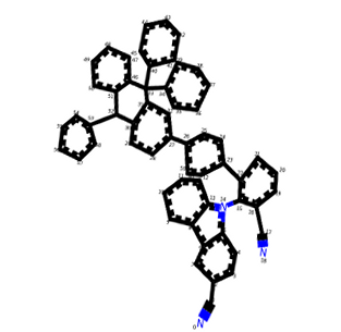 N#Cc1ccc2c(c1)c1ccccc1n2-c1c(C#N)cccc1-c1ccc(-c2ccc3c(c2)C(c2ccccc2)(c2ccccc2)c2ccccc2C3c2ccccc2)cc1